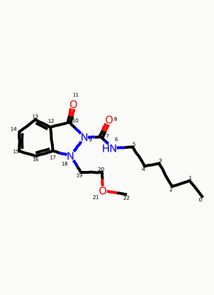 CCCCCCNC(=O)n1c(=O)c2ccccc2n1CCOC